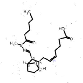 CCCCCC(=O)N(C)N=C[C@H]1[C@@H](C/C=C\CCCC(=O)O)[C@H]2CC[C@@H]1O2